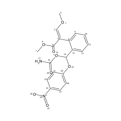 CO/C=C(/C(=O)OC)c1ccccc1C(OC(N)=O)Oc1ccc([N+](=O)[O-])cc1